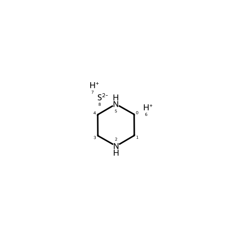 C1CNCCN1.[H+].[H+].[S-2]